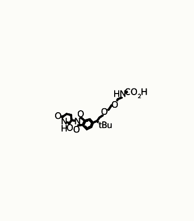 CC(C)(C)C(CCOCCOCCNC(=O)O)c1ccc2c(c1)C(=O)N(C1CCC(=O)NC1=O)C2=O